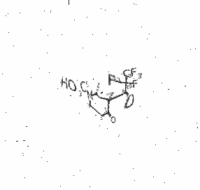 O=C1CCN(C(=O)O)CC1C(=O)C(F)(F)C(F)(F)F